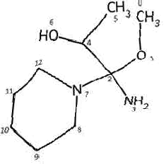 COC(N)(C(C)O)N1CCCCC1